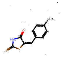 CC(=O)Nc1ccc(/C=C2/SC(=S)NC2=O)cc1